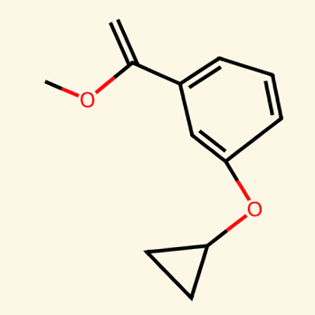 C=C(OC)c1cccc(OC2CC2)c1